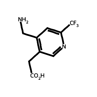 NCc1cc(C(F)(F)F)ncc1CC(=O)O